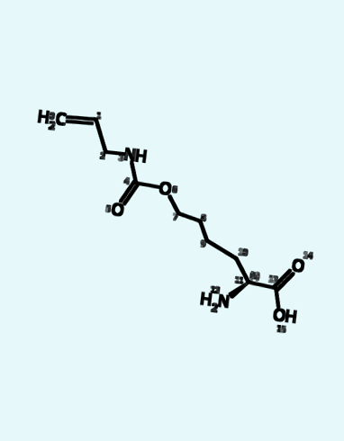 C=CCNC(=O)OCCCC[C@H](N)C(=O)O